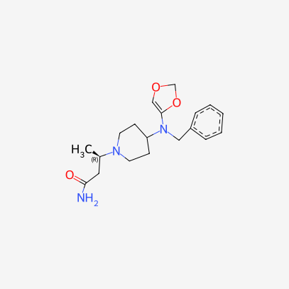 C[C@H](CC(N)=O)N1CCC(N(Cc2ccccc2)C2=COCO2)CC1